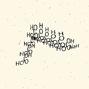 O=C(O)CO.O=C(O)CO.O=C(O)CO.O=C(O)CO.O=C(O)CO.O=C(O)CO.O=C(O)CO.O=C(O)CO.O=C(O)CO.[NaH]